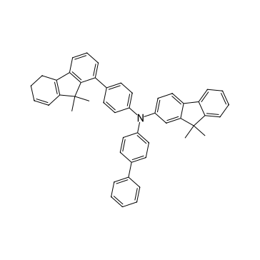 CC1(C)C2=C(CCC=C2)c2cccc(-c3ccc(N(c4ccc(-c5ccccc5)cc4)c4ccc5c(c4)C(C)(C)c4ccccc4-5)cc3)c21